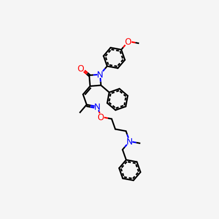 COc1ccc(N2C(=O)/C(=C/C(C)=NOCCCN(C)Cc3ccccc3)C2c2ccccc2)cc1